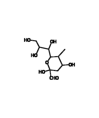 CC1C(O)CC(O)(C=O)OC1C(O)C(O)CO